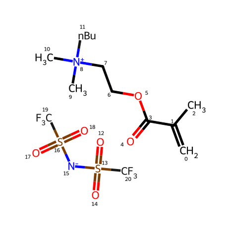 C=C(C)C(=O)OCC[N+](C)(C)CCCC.O=S(=O)([N-]S(=O)(=O)C(F)(F)F)C(F)(F)F